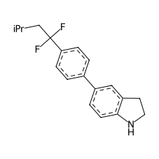 CC(C)CC(F)(F)c1ccc(-c2ccc3c(c2)CCN3)cc1